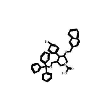 O=C(O)N1CC(COC(c2ccccc2)(c2ccccc2)c2ccccc2)C(c2ccc(Br)cc2)C(OCc2ccc3ccccc3c2)C1